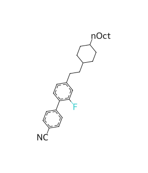 CCCCCCCCC1CCC(CCc2ccc(-c3ccc(C#N)cc3)c(F)c2)CC1